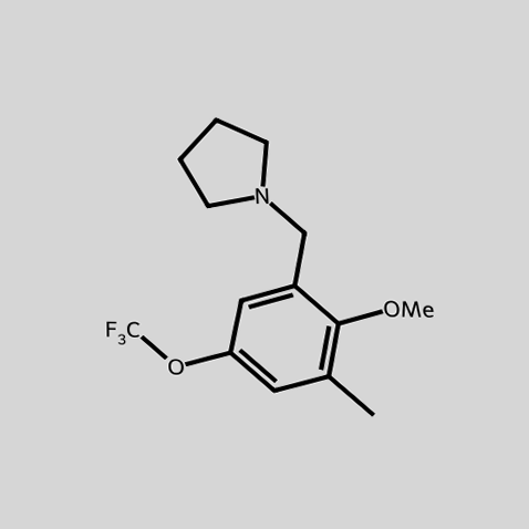 COc1c(C)cc(OC(F)(F)F)cc1CN1CCCC1